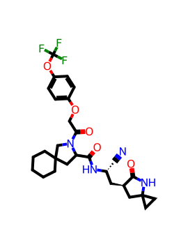 N#C[C@H](C[C@@H]1CC2(CC2)NC1=O)NC(=O)C1CC2(CCCCC2)CN1C(=O)COc1ccc(OC(F)(F)F)cc1